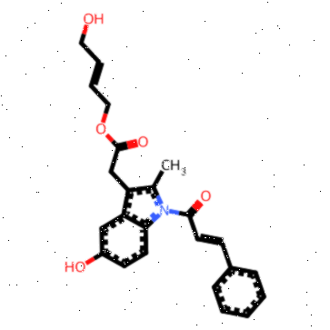 Cc1c(CC(=O)OC/C=C/CO)c2cc(O)ccc2n1C(=O)/C=C/c1ccccc1